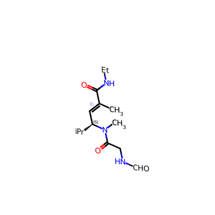 CCNC(=O)/C(C)=C/[C@H](C(C)C)N(C)C(=O)CNC=O